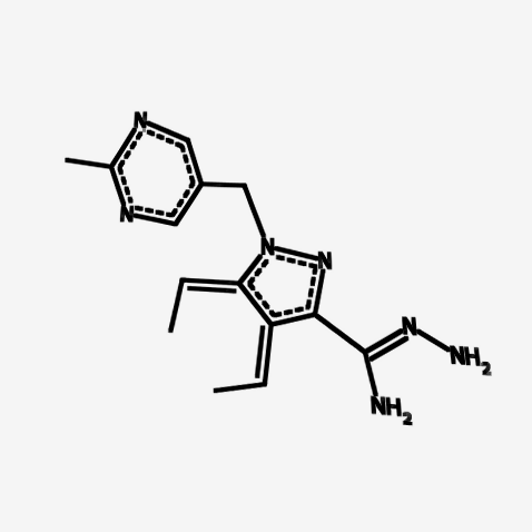 C/C=c1/c(/C(N)=N/N)nn(Cc2cnc(C)nc2)/c1=C/C